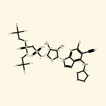 N#Cc1c(Cl)nc2c(ccn2[C@@H]2O[C@H](CS(=O)(=O)CP(=O)(OCC(F)(F)F)OCC(F)(F)F)[C@@H](O)[C@H]2O)c1NC1CCCC1